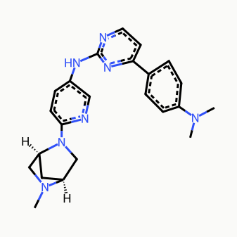 CN(C)c1ccc(-c2ccnc(Nc3ccc(N4C[C@@H]5C[C@H]4CN5C)nc3)n2)cc1